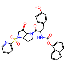 O=C(NC(Cc1ccc(O)cc1)C(=O)N1CCC2C1C(=O)CN2S(=O)(=O)c1ccccn1)Oc1cccc2ccccc12